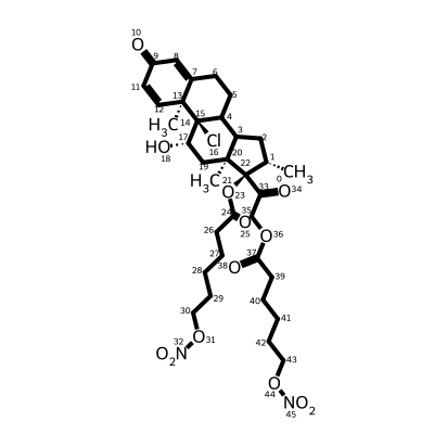 C[C@H]1CC2C3CCC4=CC(=O)C=C[C@]4(C)[C@@]3(Cl)[C@@H](O)C[C@]2(C)[C@@]1(OC(=O)CCCCCO[N+](=O)[O-])C(=O)COC(=O)CCCCCO[N+](=O)[O-]